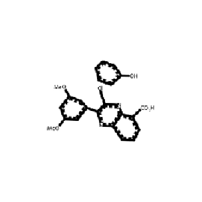 COc1cc(OC)cc(-c2nc3cccc(C(=O)O)c3nc2Cl)c1.Oc1ccccc1